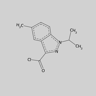 Cc1ccc2c(c1)c(C(=O)Cl)nn2C(C)C